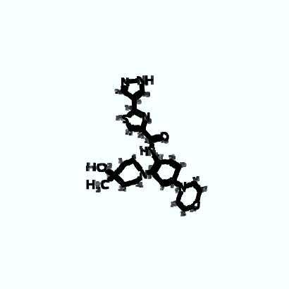 CC1(O)CCN(c2cc(N3CCOCC3)ccc2NC(=O)c2csc(-c3cn[nH]c3)n2)CC1